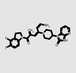 C=C(/C=C(\C=C/N)N1CCC(n2c(=O)[nH]c3ncccc32)CC1)C(=O)N1CCc2c1ccc(F)c2F